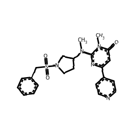 CN(c1nc(-c2ccncc2)cc(=O)n1C)C1CCN(S(=O)(=O)Cc2ccccc2)C1